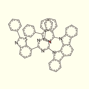 c1ccc(-c2nc(-c3cccc4nc(-c5ccccc5)sc34)nc(-n3c4ccccc4c4ccc5c6ccccc6n(-c6ccc(-c7ccccc7)c7ccccc67)c5c43)n2)cc1